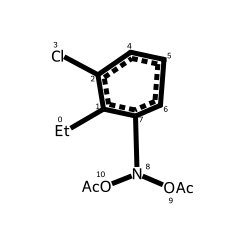 CCc1c(Cl)cccc1N(OC(C)=O)OC(C)=O